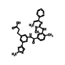 C=N/C(=N\C(=C/C)c1ccccc1)Nc1cc(C(=O)Nc2cc(CCC(=O)O)cc(-n3cnc(C)c3)c2)ccc1C